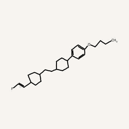 CCCCOc1ccc(C2CCC(CCC3CCC(/C=C/F)CC3)CC2)cc1